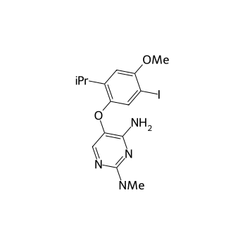 CNc1ncc(Oc2cc(I)c(OC)cc2C(C)C)c(N)n1